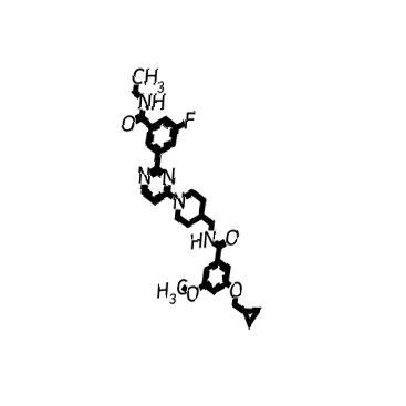 CCNC(=O)c1cc(F)cc(-c2nccc(N3CCC(CNC(=O)c4cc(OC)cc(OCC5CC5)c4)CC3)n2)c1